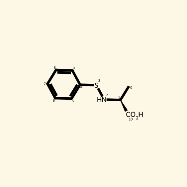 C[C@H](NSc1ccccc1)C(=O)O